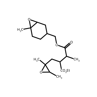 CCOC(=O)C(CC1(C)OC1C)C(C)C(=O)OCC1CCC2(C)OC2C1